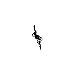 CC=CCCCOC(=O)c1ccc(C(=O)OCCCC=CC)cc1